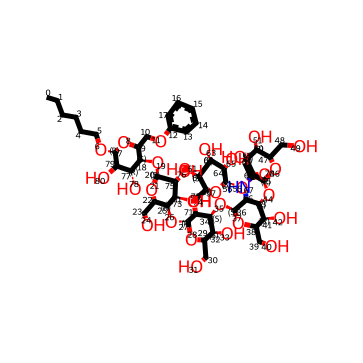 CCCCCCO[C@@H]1OC(COc2ccccc2)[C@@H](O[C@@H]2OC(CO)[C@H](O[C@H]3OC(CO)[C@H](O)[C@H](O[C@@H]4OC(CO)[C@H](O)[C@H](O[C@@H]5OC(CO)[C@H](O)[C@H](O)C5O[C@@H]5OC(C)[C@@H](O)[C@H](O)C5O)C4NC(C)=O)C3O)[C@H](O)C2O)[C@H](O)C1O